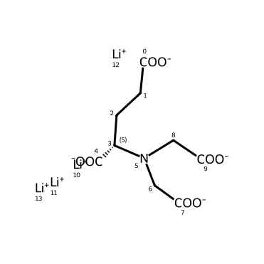 O=C([O-])CC[C@@H](C(=O)[O-])N(CC(=O)[O-])CC(=O)[O-].[Li+].[Li+].[Li+].[Li+]